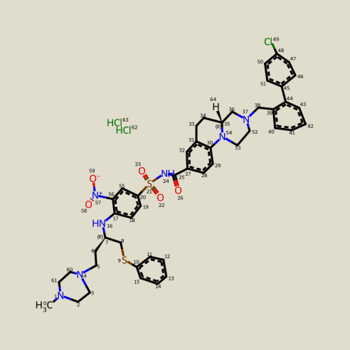 CN1CCN(CC[C@H](CSc2ccccc2)Nc2ccc(S(=O)(=O)NC(=O)c3ccc4c(c3)CC[C@@H]3CN(Cc5ccccc5-c5ccc(Cl)cc5)CCN43)cc2[N+](=O)[O-])CC1.Cl.Cl